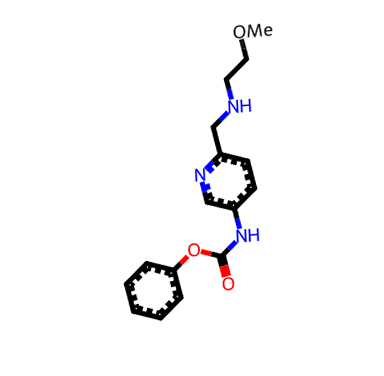 COCCNCc1ccc(NC(=O)Oc2ccccc2)cn1